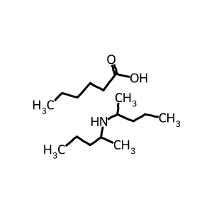 CCCC(C)NC(C)CCC.CCCCCC(=O)O